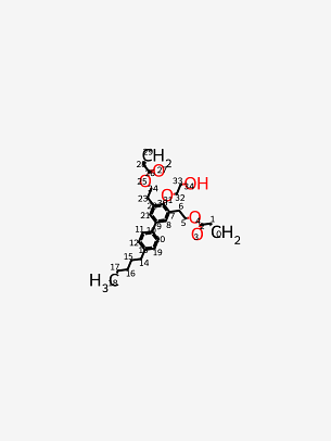 C=CC(=O)OCCc1cc(-c2ccc(CCCCC)cc2)cc(CCOC(=O)C=C)c1OCCO